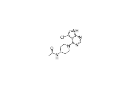 CC(=O)NC1CCN(c2ncnc3[nH]cc(Cl)c23)CC1